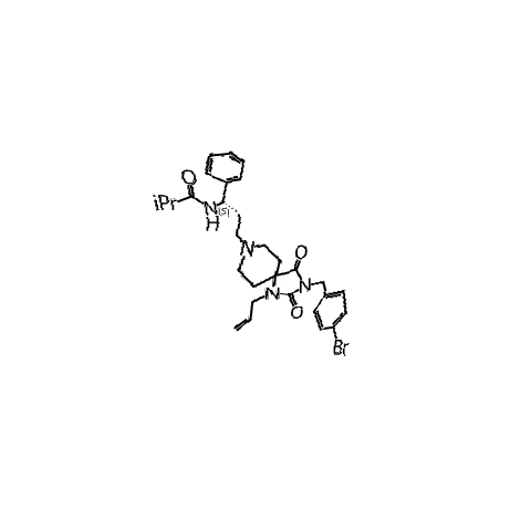 C=CCN1C(=O)N(Cc2ccc(Br)cc2)C(=O)C12CCN(CC[C@H](NC(=O)C(C)C)c1ccccc1)CC2